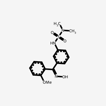 COc1ccccc1C(=NO)c1cccc(NS(=O)(=O)N(C)C)c1